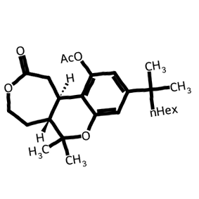 CCCCCCC(C)(C)c1cc(OC(C)=O)c2c(c1)OC(C)(C)[C@@H]1CCOC(=O)C[C@@H]21